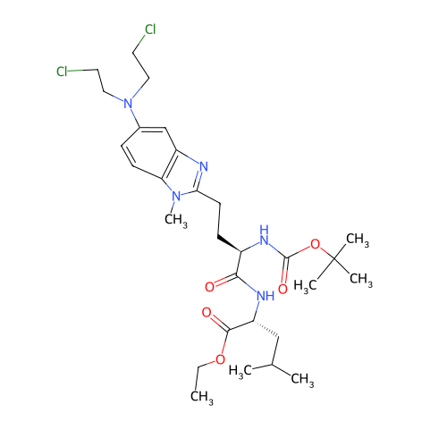 CCOC(=O)[C@@H](CC(C)C)NC(=O)[C@@H](CCc1nc2cc(N(CCCl)CCCl)ccc2n1C)NC(=O)OC(C)(C)C